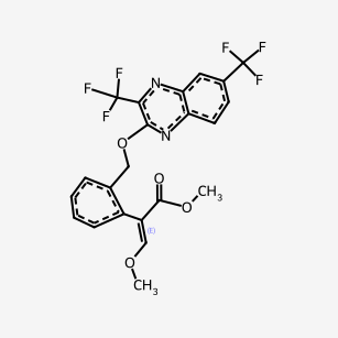 CO/C=C(/C(=O)OC)c1ccccc1COc1nc2ccc(C(F)(F)F)cc2nc1C(F)(F)F